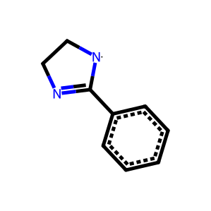 c1ccc(C2=NCC[N]2)cc1